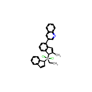 C[CH2][Zr]([Cl])([Cl])([CH]1C=Cc2ccccc21)[CH]1C(C)=Cc2c(-c3cnc4ccccc4c3)cccc21